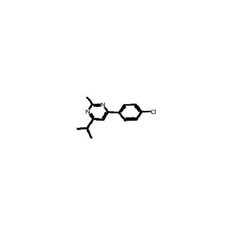 Cc1nc(-c2ccc(Cl)cc2)cc(C(C)C)n1